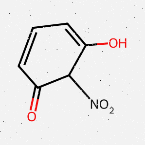 O=C1C=CC=C(O)C1[N+](=O)[O-]